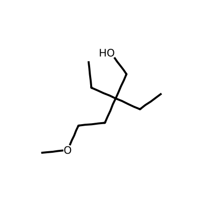 CCC(CC)(CO)CCOC